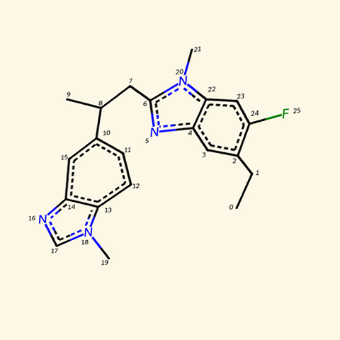 CCc1cc2nc(CC(C)c3ccc4c(c3)ncn4C)n(C)c2cc1F